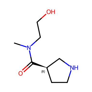 CN(CCO)C(=O)[C@@H]1CCNC1